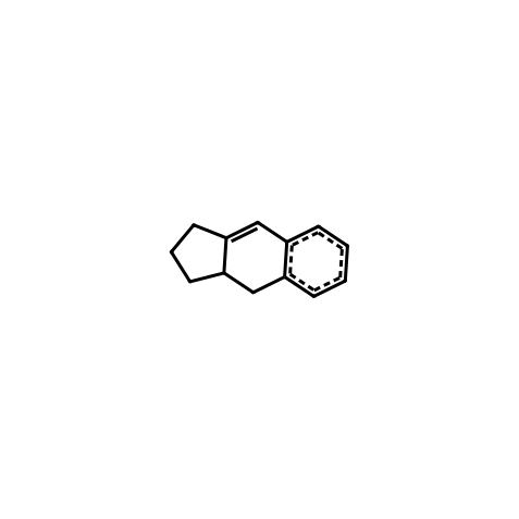 C1=C2CCCC2Cc2ccccc21